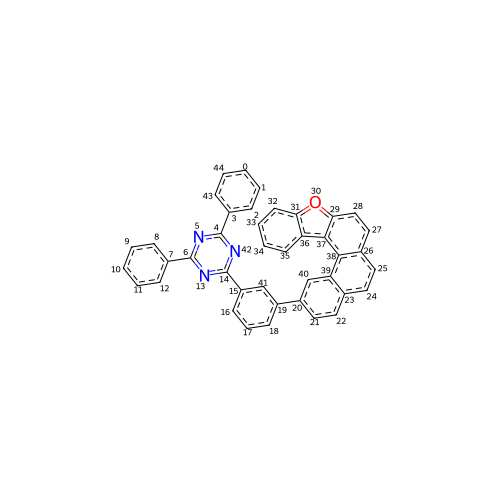 c1ccc(-c2nc(-c3ccccc3)nc(-c3cccc(-c4ccc5ccc6ccc7oc8ccccc8c7c6c5c4)c3)n2)cc1